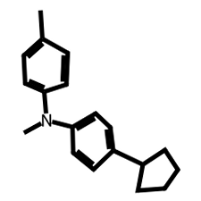 Cc1ccc(N(C)c2ccc(C3CCCC3)cc2)cc1